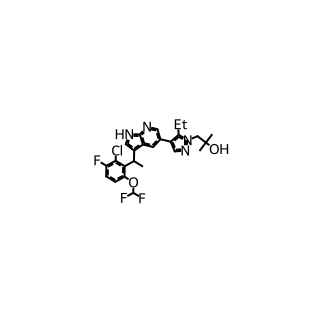 CCc1c(-c2cnc3[nH]cc(C(C)c4c(OC(F)F)ccc(F)c4Cl)c3c2)cnn1CC(C)(C)O